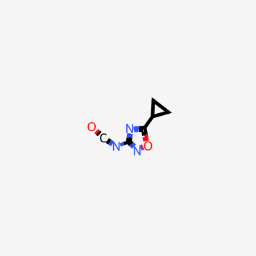 O=C=Nc1noc(C2CC2)n1